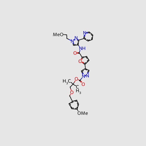 COCCn1cc(NC(=O)c2ccc(-c3cnn(C(=O)OC(C)(C)COCc4ccc(OC)cc4)c3)o2)c(-c2ccccn2)n1